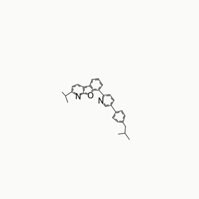 CC(C)Cc1ccc(-c2ccc(-c3cccc4c3oc3nc(C(C)C)ccc34)nc2)cc1